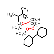 C1CCC(C2CCCCC2)CC1.CC(C)C(C)C.O=C(O)OOC(=O)O.O=C(O)OOC(=O)O